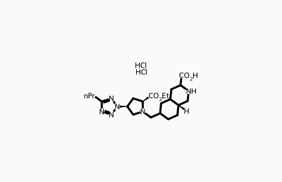 CCCc1nnn([C@H]2C[C@@H](C(=O)OCC)N(CC3CC[C@H]4CNC(C(=O)O)CC4C3)C2)n1.Cl.Cl